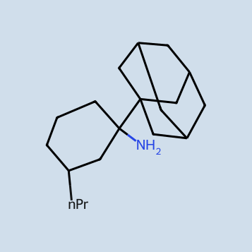 CCCC1CCCC(N)(C23CC4CC(CC(C4)C2)C3)C1